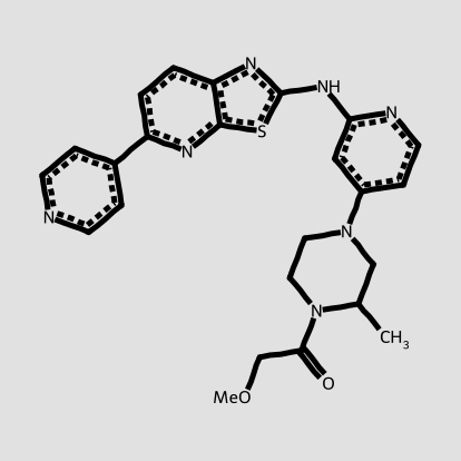 COCC(=O)N1CCN(c2ccnc(Nc3nc4ccc(-c5ccncc5)nc4s3)c2)CC1C